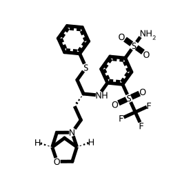 NS(=O)(=O)c1ccc(N[C@H](CCN2C[C@H]3C[C@@H]2CO3)CSc2ccccc2)c(S(=O)(=O)C(F)(F)F)c1